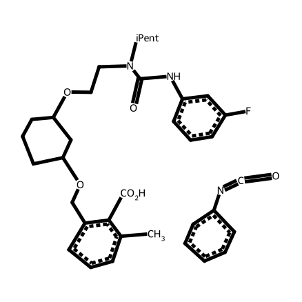 CCCC(C)N(CCOC1CCCC(OCc2cccc(C)c2C(=O)O)C1)C(=O)Nc1cccc(F)c1.O=C=Nc1ccccc1